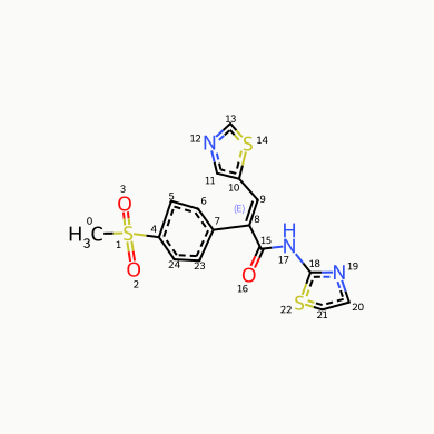 CS(=O)(=O)c1ccc(/C(=C\c2cncs2)C(=O)Nc2nccs2)cc1